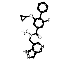 CN(Cc1cncc2cn[nH]c12)C(=O)c1cc(F)c(-c2ccccc2)c(OC2CC2)c1